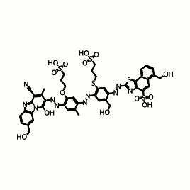 Cc1cc(N=Nc2c(C)c(C#N)c3nc4ccc(CO)cc4n3c2O)c(OCCCS(=O)(=O)O)cc1N=Nc1cc(CO)c(N=Nc2nc3c(S(=O)(=O)O)cc4c(CO)cccc4c3s2)cc1SCCCS(=O)(=O)O